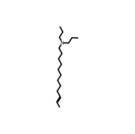 CC=CCCCCCCCCCN(CCC)CCC